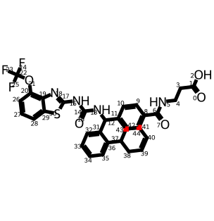 O=C(O)CCNC(=O)c1ccc(C(NC(=O)Nc2nc3c(OC(F)(F)F)cccc3s2)c2ccccc2C2CC=CCC2)cc1